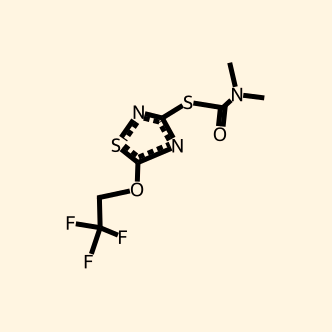 CN(C)C(=O)Sc1nsc(OCC(F)(F)F)n1